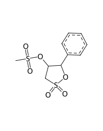 CS(=O)(=O)OC1CS(=O)(=O)OC1c1ccccc1